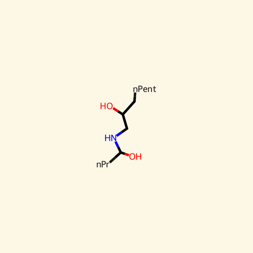 CCCCCCC(O)CNC(O)CCC